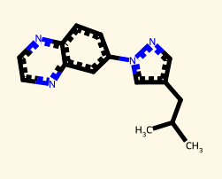 CC(C)Cc1cnn(-c2ccc3nccnc3c2)c1